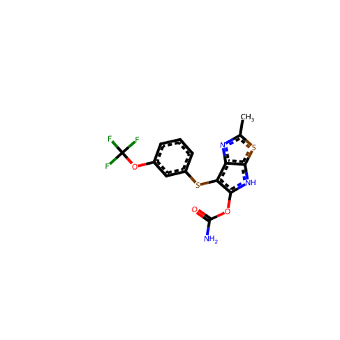 Cc1nc2c(Sc3cccc(OC(F)(F)F)c3)c(OC(N)=O)[nH]c2s1